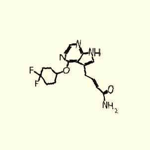 NC(=O)/C=C/Cc1c[nH]c2ncnc(OC3CCC(F)(F)CC3)c12